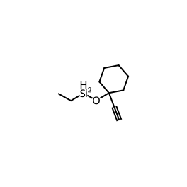 C#CC1(O[SiH2]CC)CCCCC1